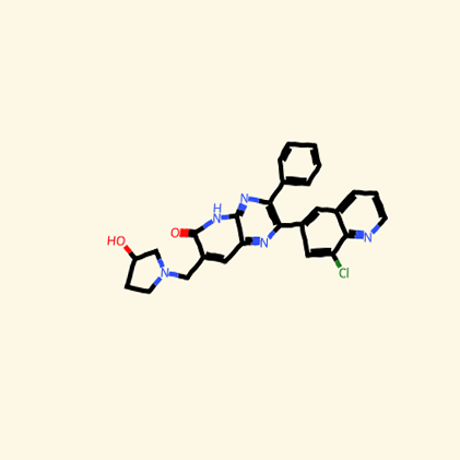 O=c1[nH]c2nc(-c3ccccc3)c(-c3cc(Cl)c4ncccc4c3)nc2cc1CN1CCC(O)C1